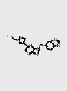 FC(F)(F)Cn1cc(-c2cnc3nnn(Cc4ccc5ncnn5c4)c3n2)cn1